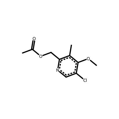 COc1c(Cl)cnc(COC(C)=O)c1C